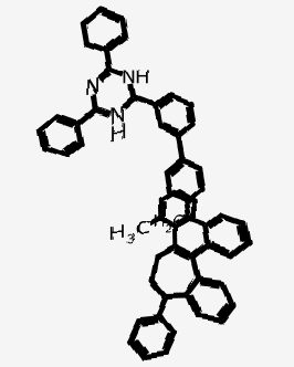 C=C(c1ccc(-c2cccc(C3NC(C4=CC=CCC4)=NC(c4ccccc4)N3)c2)cc1)c1ccccc1C1=C(c2ccccc2C)CCC(c2ccccc2)c2ccccc21